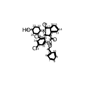 O=C(NOCc1ccccc1)[C@@H]1c2ccccc2C(=O)N([C@H]2CC[C@H](O)CC2)[C@H]1c1ccc(Cl)cc1Cl